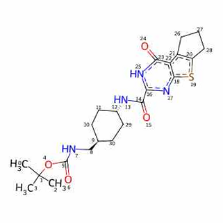 CC(C)(C)OC(=O)NC[C@H]1CC[C@H](NC(=O)c2nc3sc4c(c3c(=O)[nH]2)CCC4)CC1